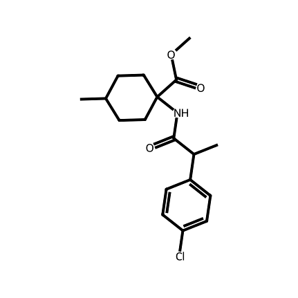 COC(=O)C1(NC(=O)C(C)c2ccc(Cl)cc2)CCC(C)CC1